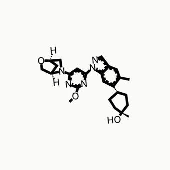 COc1nc(N2C[C@H]3C[C@@H]2CO3)cc(-n2ncc3cc(C)c([C@H]4CC[C@@](C)(O)CC4)cc32)n1